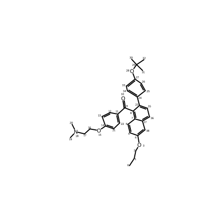 CCCOc1ccc2c(C(=O)c3ccc(OCCN(C)C)cc3)c(-c3ccc(OC(C)(C)C)cc3)ccc2c1